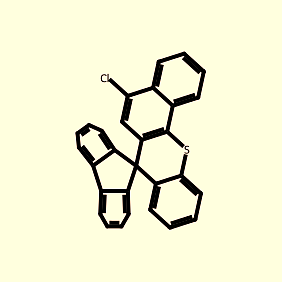 Clc1cc2c(c3ccccc13)Sc1ccccc1C21c2ccccc2-c2ccccc21